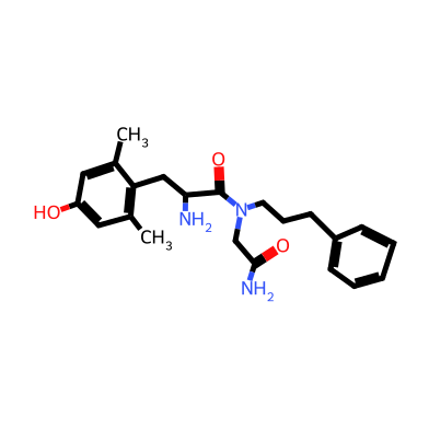 Cc1cc(O)cc(C)c1CC(N)C(=O)N(CCCc1ccccc1)CC(N)=O